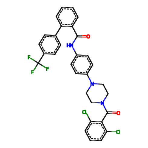 O=C(Nc1ccc(N2CCN(C(=O)c3c(Cl)cccc3Cl)CC2)cc1)c1ccccc1-c1ccc(C(F)(F)F)cc1